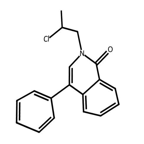 CC(Cl)Cn1cc(-c2ccccc2)c2ccccc2c1=O